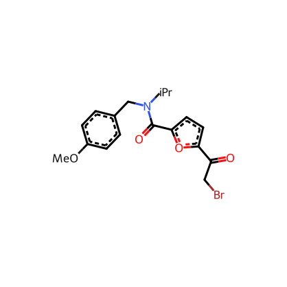 COc1ccc(CN(C(=O)c2ccc(C(=O)CBr)o2)C(C)C)cc1